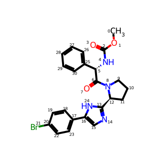 COC(=O)N[C@H](C(=O)N1CCC[C@H]1c1ncc(-c2ccc(Br)cc2)[nH]1)c1ccccc1